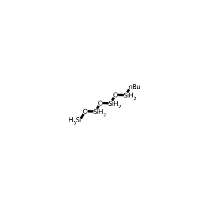 CCCC[SiH2]O[SiH2]O[SiH2]O[SiH3]